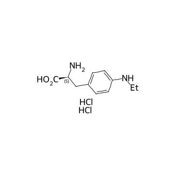 CCNc1ccc(C[C@H](N)C(=O)O)cc1.Cl.Cl